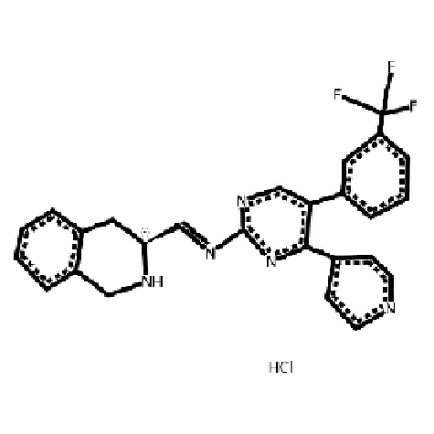 Cl.FC(F)(F)c1cccc(-c2cnc(N=C[C@@H]3Cc4ccccc4CN3)nc2-c2ccncc2)c1